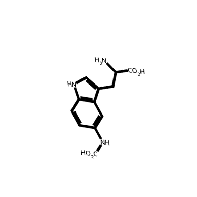 NC(Cc1c[nH]c2ccc(NC(=O)O)cc12)C(=O)O